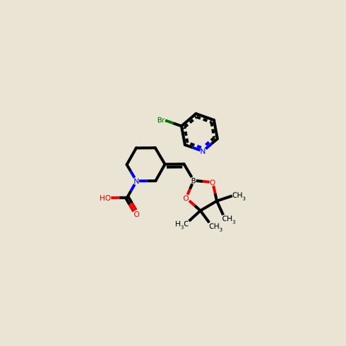 Brc1cccnc1.CC1(C)OB(/C=C2/CCCN(C(=O)O)C2)OC1(C)C